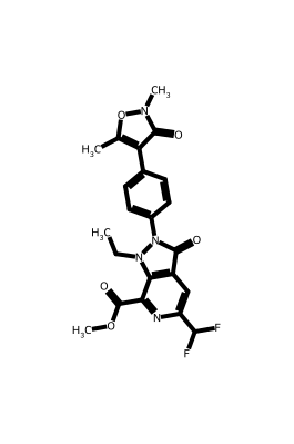 CCn1c2c(C(=O)OC)nc(C(F)F)cc2c(=O)n1-c1ccc(-c2c(C)on(C)c2=O)cc1